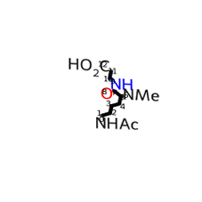 C[13C](=O)NCCCCC(N[13CH3])C(=O)NCCC(=O)O